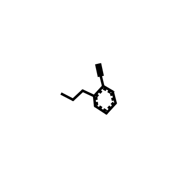 C#Cc1[c]cccc1CCC